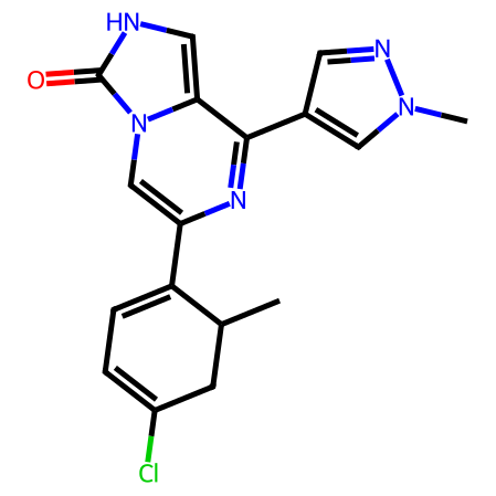 CC1CC(Cl)=CC=C1c1cn2c(=O)[nH]cc2c(-c2cnn(C)c2)n1